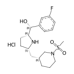 CS(=O)(=O)N1CCC[C@H](C[C@@H]2CC[C@H]([C@H](O)c3cccc(F)c3)N2)C1.Cl